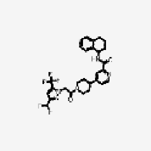 O=C(NC1CCCc2ccccc21)c1cc(C2CCN(C(=O)Cn3nc(C(F)F)cc3C(F)(F)F)CC2)ccn1